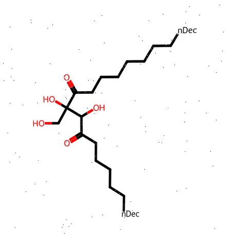 CCCCCCCCCCCCCCCCCC(=O)C(O)(CO)C(O)C(=O)CCCCCCCCCCCCCCC